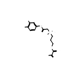 C=C(C)C(=O)NCCC[N+](C)(C)CC(=O)Nc1ccc(C(=O)O)c(O)c1.[OH-]